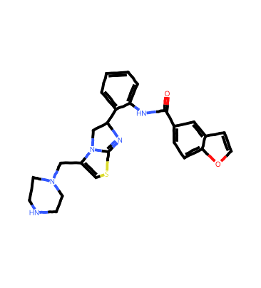 O=C(Nc1ccccc1C1CN2C(CN3CCNCC3)=CSC2=N1)c1ccc2occc2c1